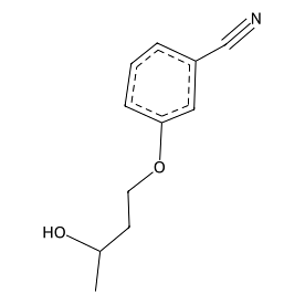 CC(O)CCOc1cccc(C#N)c1